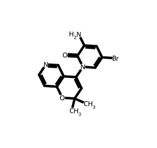 CC1(C)C=C(n2cc(Br)cc(N)c2=O)c2cnccc2O1